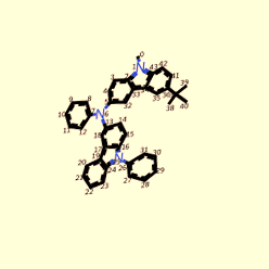 Cn1c2ccc(N(c3ccccc3)c3ccc4c(c3)c3ccccc3n4-c3ccccc3)cc2c2cc(C(C)(C)C)ccc21